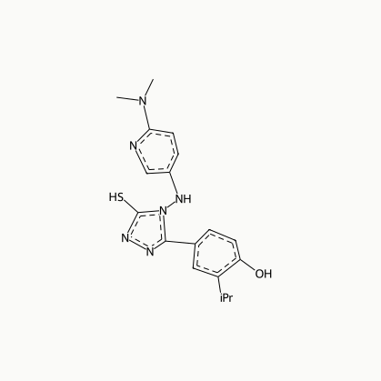 CC(C)c1cc(-c2nnc(S)n2Nc2ccc(N(C)C)nc2)ccc1O